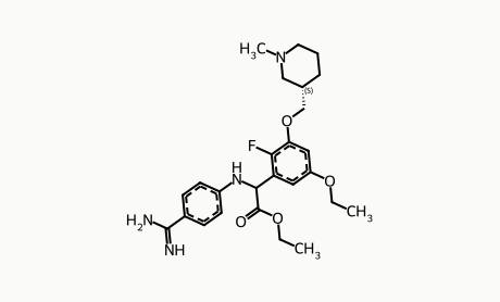 CCOC(=O)C(Nc1ccc(C(=N)N)cc1)c1cc(OCC)cc(OC[C@H]2CCCN(C)C2)c1F